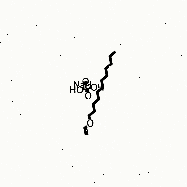 C=COCCCCCCCCCCCC.O=S(=O)(O)O.[NaH]